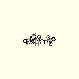 CNC(=O)[C@H](Cc1ccccc1)N1CC[C@H](C)C[C@H](NC(=O)C(S)CCCCN2C(=O)c3ccccc3C2=O)C1=O